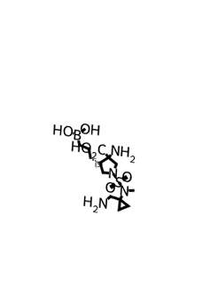 CN(C1(CN)CC1)S(=O)(=O)N1C[C@H](CCCB(O)O)C(N)(C(=O)O)C1